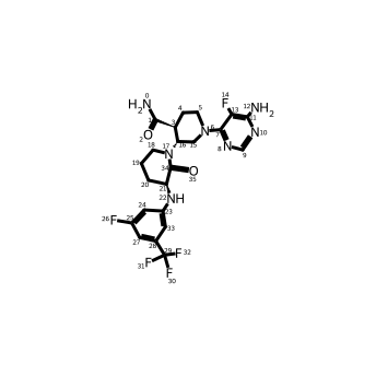 NC(=O)[C@H]1CCN(c2ncnc(N)c2F)C[C@@H]1N1CCC[C@H](Nc2cc(F)cc(C(F)(F)F)c2)C1=O